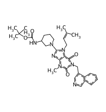 CC(C)=CCn1c(N2CCCC(NC(=O)OC(C)(C)C)C2)nc2c1c(=O)n(Cc1cncc3ccccc13)c(=O)n2C